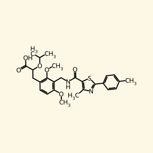 COc1ccc(CC(OC(C)C)C(=O)O)c(OC)c1CNC(=O)c1sc(-c2ccc(C)cc2)nc1C